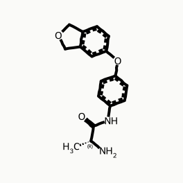 C[C@@H](N)C(=O)Nc1ccc(Oc2ccc3c(c2)COC3)cc1